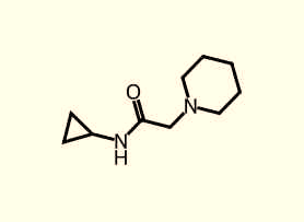 O=C(CN1CCCCC1)NC1CC1